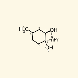 CCC[C@]1(O)CCC(C)C[C@H]1O